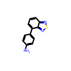 Nc1ccc(-c2cccc3nsnc23)cc1